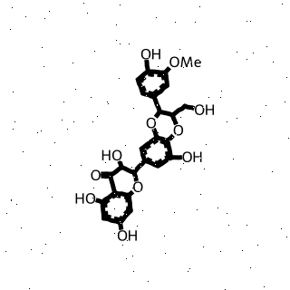 COc1cc(C2Oc3cc(C4Oc5cc(O)cc(O)c5C(=O)C4O)cc(O)c3OC2CO)ccc1O